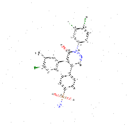 Cc1cc(-c2c(-c3ccc(S(N)(=O)=O)cc3)cnn(-c3ccc(F)c(F)c3)c2=O)ccc1F